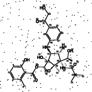 Cc1cccc(O)c1C(=O)OC[C@@]1(O)[C@@H](Nc2cccc(C(=O)CO)c2)[C@H](N)[C@@](NC(=O)N(C)C)([C@H](C)O)[C@@]1(C)O